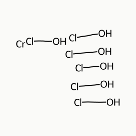 OCl.OCl.OCl.OCl.OCl.OCl.[Cr]